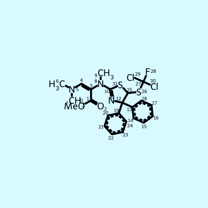 COC(=O)C(=CN(C)C)N(C)C1=NC(c2ccccc2)(c2ccccc2)C(SC(F)(Cl)Cl)S1